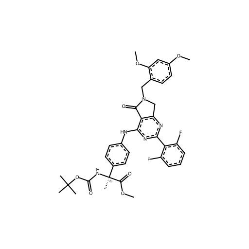 COC(=O)[C@@](C)(NC(=O)OC(C)(C)C)c1ccc(Nc2nc(-c3c(F)cccc3F)nc3c2C(=O)N(Cc2ccc(OC)cc2OC)C3)cc1